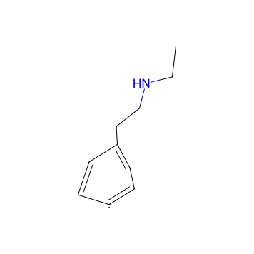 CCNCCc1cc[c]cc1